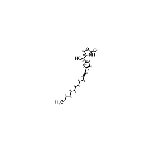 CCCCCCCCCCC#Cc1ccc(C(O)C2COC(=O)N2)s1